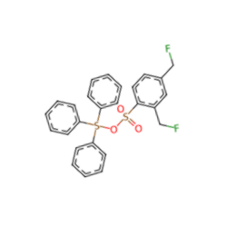 O=S(=O)(OS(c1ccccc1)(c1ccccc1)c1ccccc1)c1ccc(CF)cc1CF